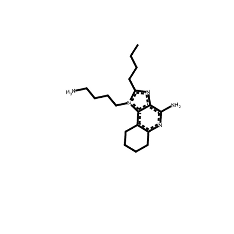 CCCCc1nc2c(N)nc3c(c2n1CCCCN)CCCC3